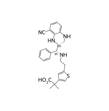 CC(C)(C(=O)O)c1csc(CCN[C@H](c2ccccc2)[C@H]2CNc3cccc(C#N)c3N2)c1